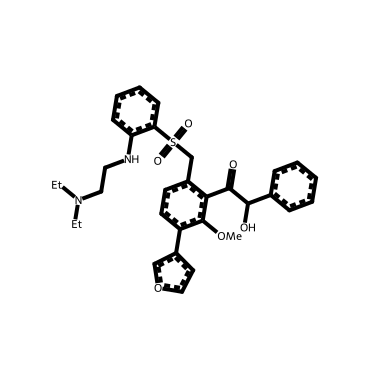 CCN(CC)CCNc1ccccc1S(=O)(=O)Cc1ccc(-c2ccoc2)c(OC)c1C(=O)C(O)c1ccccc1